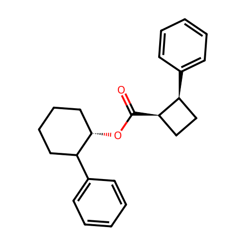 O=C(O[C@H]1CCCCC1c1ccccc1)[C@@H]1CC[C@@H]1c1ccccc1